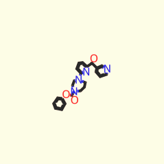 O=C(c1cccnc1)c1cccc(N2CCCN(C(=O)Oc3ccccc3)CC2)n1